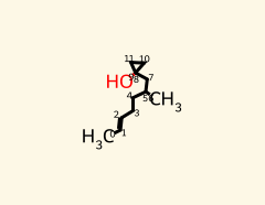 CC=CCCC(C)CC1(O)CC1